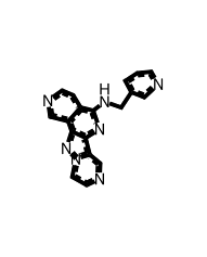 c1cncc(CNc2nc3c(nn4ccncc34)c3cnccc23)c1